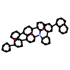 c1ccc(-c2ccc(-c3ccc(N(c4ccccc4-c4ccc(-c5ccccc5)cc4)c4ccccc4-c4cccc(-c5cccc6ccccc56)c4)cc3)cc2)cc1